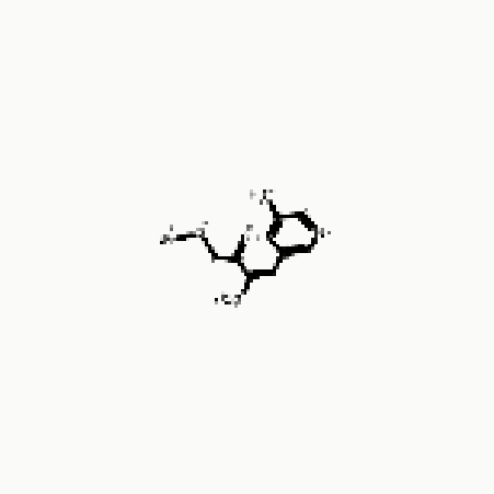 Cc1cncc(C=C(C(=O)O)C(=O)COC(C)C)c1